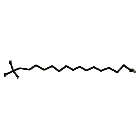 NCCCCCCCCCCCCCCCC(F)(F)F